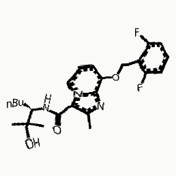 CCCC[C@@H](NC(=O)c1c(C)nc2c(OCc3c(F)cccc3F)cccn12)C(C)(C)O